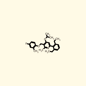 CCc1cccc(CC)c1-c1cc(OC(C)C)c(COc2ccc(F)cc2C)c(C)n1